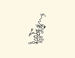 C#CCC(NC(=O)CCCCCN)C(=O)Nc1ccc(OC2OC(C(=O)O)C(O)C(O)C2O)c(C(F)F)c1